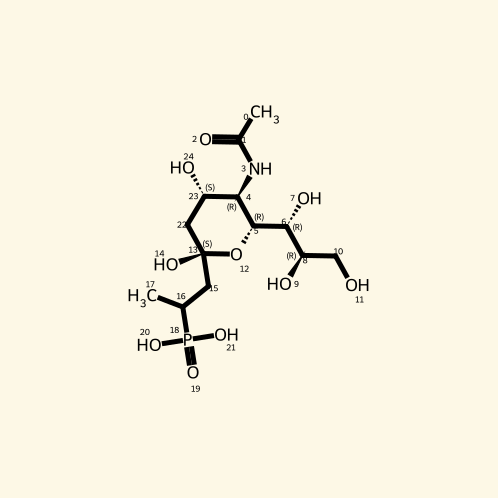 CC(=O)N[C@H]1[C@H]([C@H](O)[C@H](O)CO)O[C@](O)(CC(C)P(=O)(O)O)C[C@@H]1O